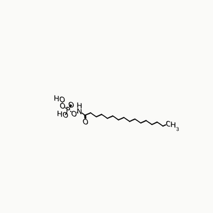 CCCCCCCCCCCCCCCC(=O)NOP(=O)(O)OO